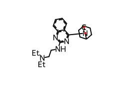 CCN(CC)CCNc1nc(N2CC3CCC(CC3)C2)c2ccccc2n1